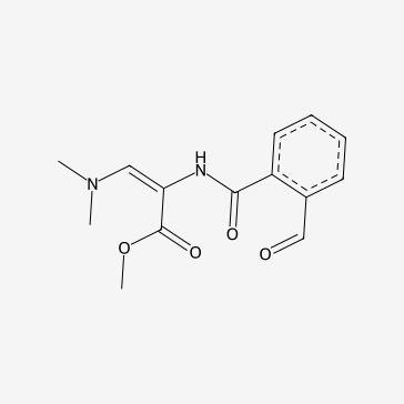 COC(=O)C(=CN(C)C)NC(=O)c1ccccc1C=O